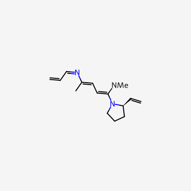 C=C\C=N/C(C)=C/C=C(\NC)N1CCC[C@@H]1C=C